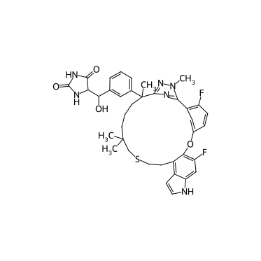 Cn1nc2nc1-c1cc(ccc1F)Oc1c(F)cc3[nH]ccc3c1CCSCC(C)(C)CCCC2(C)c1cccc(C(O)C2NC(=O)NC2=O)c1